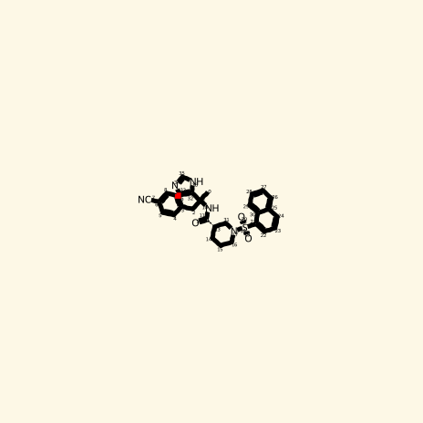 CC(Cc1ccc(C#N)cc1)(NC(=O)[C@H]1CCCN(S(=O)(=O)c2cccc3ccccc23)C1)c1cnc[nH]1